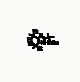 CCCCC(C)(C)c1nc(C(C)(CC)CC)c(C(C)(CC)CC)[nH]1